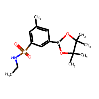 CCNS(=O)(=O)c1cc(C)cc(B2OC(C)(C)C(C)(C)O2)c1